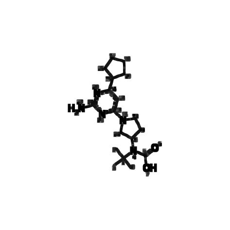 CC(C)(C)N(C(=O)O)C1CCN(c2cc(C3CCCC3)nc(N)n2)C1